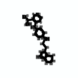 CCC(O)c1cnccc1Nc1ccc(NCCc2c[nH]c3ccccc23)cc1